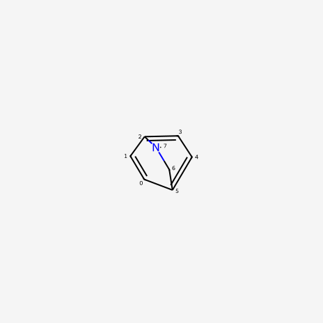 c1cc2ccc1C[N]2